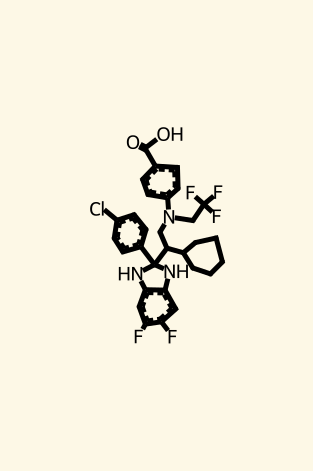 O=C(O)c1ccc(N(CC(C2CCCCC2)C2(c3ccc(Cl)cc3)Nc3cc(F)c(F)cc3N2)CC(F)(F)F)cc1